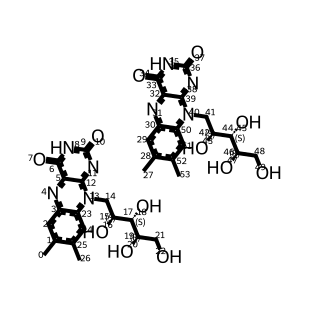 Cc1cc2nc3c(=O)[nH]c(=O)nc-3n(C[C@H](O)[C@H](O)[C@H](O)CO)c2cc1C.Cc1cc2nc3c(=O)[nH]c(=O)nc-3n(C[C@H](O)[C@H](O)[C@H](O)CO)c2cc1C